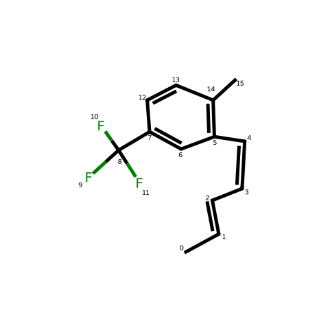 C/C=C/C=C\c1cc(C(F)(F)F)ccc1C